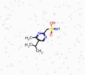 Cc1nc(CS(=N)(=O)O)ncc1C(C)C